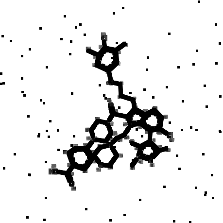 Cc1cc(OCCCc2c(C(=O)N3CCN(c4ccc(C(=O)O)cc4)CC3)n(CCN3CCOCC3)c3c(-c4c(C)nn(C)c4C)c(Cl)ccc23)cc(C)c1Cl